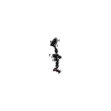 CC1(C)CCC(CN2CCN(c3ccc(C(=O)NS(=O)(=O)c4ccc(N[C@H](CCN5CCN(CCCCNc6cccc7c6C(=O)N(C6CCC(=O)NC6=O)C7=O)CC5)CSc5ccccc5)c(S(=O)(=O)C(F)(F)F)c4)cc3)CC2)=C(C23CC(C(F)F)(C2)C3)C1